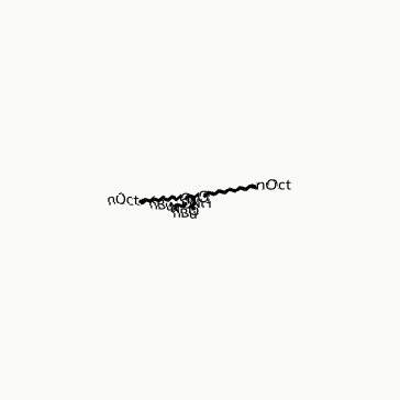 CCCCCCCCC=CCCCCCCCCOCC(COCCCCCCCCC=CCCCCCCCC)NC(=O)OCCN(CCCC)CCCC